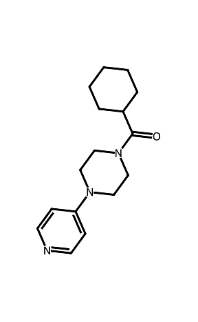 O=C(C1CCCCC1)N1CCN(c2ccncc2)CC1